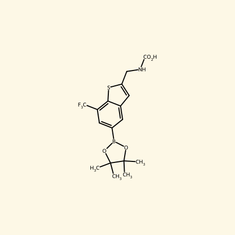 CC1(C)OB(c2cc(C(F)(F)F)c3sc(CNC(=O)O)cc3c2)OC1(C)C